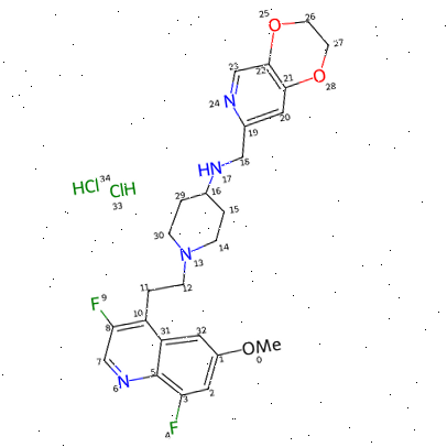 COc1cc(F)c2ncc(F)c(CCN3CCC(NCc4cc5c(cn4)OCCO5)CC3)c2c1.Cl.Cl